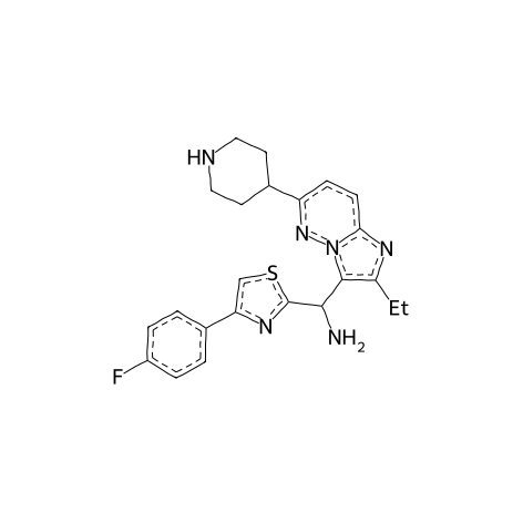 CCc1nc2ccc(C3CCNCC3)nn2c1C(N)c1nc(-c2ccc(F)cc2)cs1